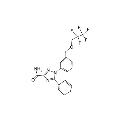 NC(=O)c1nc(C2=CCCC=C2)n(-c2cccc(COCC(F)(F)C(F)(F)F)c2)n1